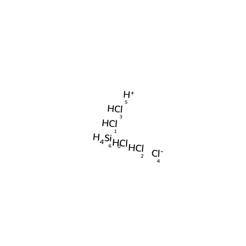 Cl.Cl.Cl.Cl.[Cl-].[H+].[SiH4]